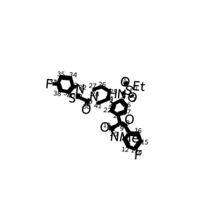 CCS(=O)(=O)Nc1cc2oc(-c3ccc(F)cc3)c(C(=O)NC)c2cc1[C@H]1CCCN(C(=O)c2nc3ccc(F)cc3s2)C1